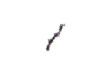 C=CC(/C=C/c1ccc(N2CCC(O)CC2)cc1)=C\C=N\CC(=O)NCCSSCCNC(=O)C[n+]1ccc(/C=C/c2ccc(N3CCCCC3)cc2)cc1